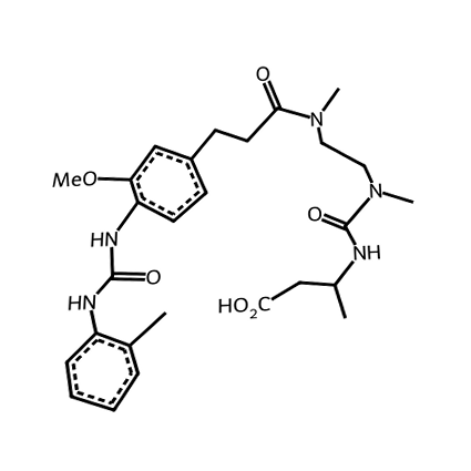 COc1cc(CCC(=O)N(C)CCN(C)C(=O)NC(C)CC(=O)O)ccc1NC(=O)Nc1ccccc1C